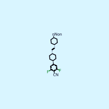 CCCCCCCCC[C@H]1CC[C@H](/C=C/[C@H]2CC[C@H](c3cc(F)c(C#N)c(F)c3)CC2)CC1